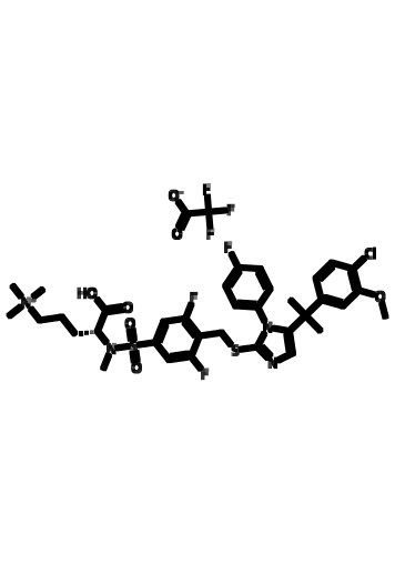 COc1cc(C(C)(C)c2cnc(SCc3c(F)cc(S(=O)(=O)N(C)[C@H](CCC[N+](C)(C)C)C(=O)O)cc3F)n2-c2ccc(F)cc2)ccc1Cl.O=C([O-])C(F)(F)F